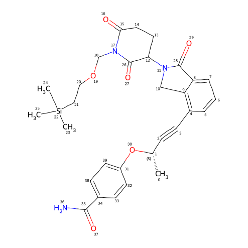 C[C@@H](C#Cc1cccc2c1CN(C1CCC(=O)N(COCC[Si](C)(C)C)C1=O)C2=O)Oc1ccc(C(N)=O)cc1